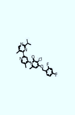 Cc1cnc(-c2nc(C(C)C)ncc2C)cc1-n1c(C)cc(OCc2ccc(F)cc2F)c(Cl)c1=O